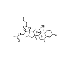 CCCC(=O)O[C@]1(C(=O)COC(C)=O)C(C)C[C@H]2[C@@H]3CC(C)C4=CC(=O)CC[C@]4(C)[C@@]3(F)C(O)C[C@@]21C